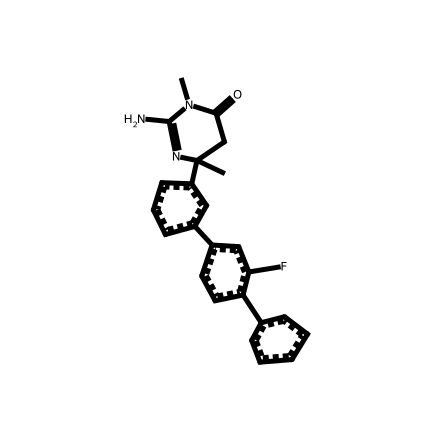 CN1C(=O)CC(C)(c2cccc(-c3ccc(-c4ccccc4)c(F)c3)c2)N=C1N